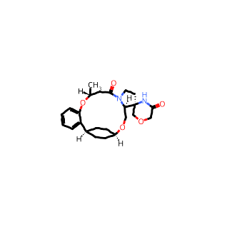 C[C@@H]1CC(=O)N2CC[C@]3(COCC(=O)N3)[C@H]2CO[C@H]2CC[C@H](CC2)c2ccccc2O1